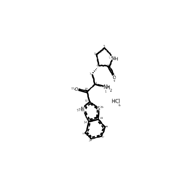 Cl.NC(C[C@@H]1CCNC1=O)C(=O)c1nc2ccccc2s1